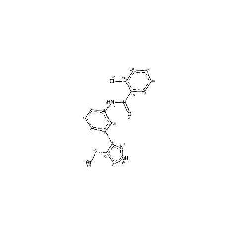 O=C(Nc1cccc(-c2n[nH]cc2CBr)c1)c1ccccc1Cl